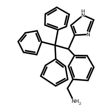 NCc1cccc(C(c2c[nH]cn2)C(c2ccccc2)(c2ccccc2)c2ccccc2)c1